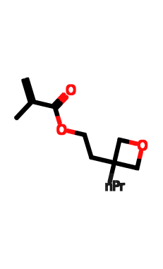 C=C(C)C(=O)OCCC1(CCC)COC1